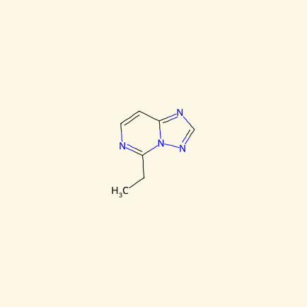 CCc1nccc2ncnn12